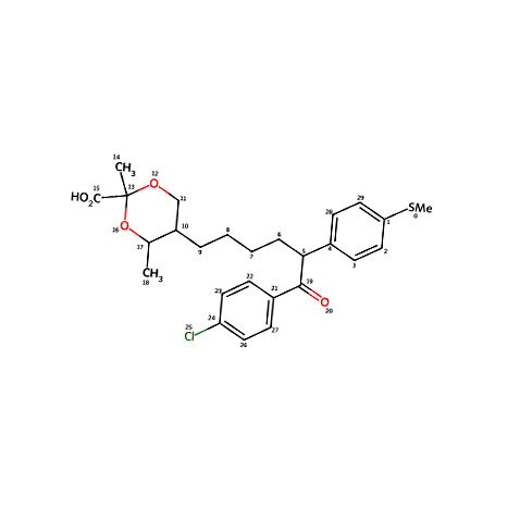 CSc1ccc(C(CCCCC2COC(C)(C(=O)O)OC2C)C(=O)c2ccc(Cl)cc2)cc1